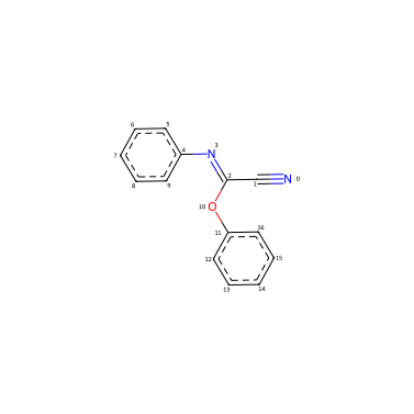 N#CC(=Nc1ccccc1)Oc1ccccc1